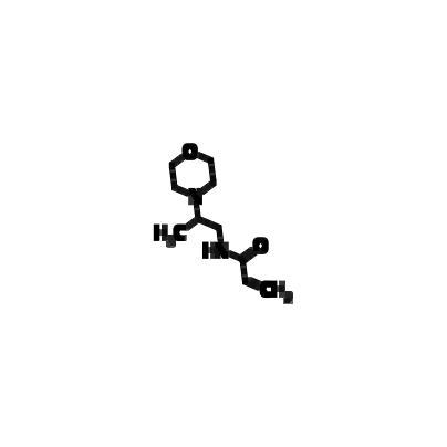 C=CC(=O)NCC(C)N1CCOCC1